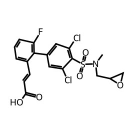 CN(CC1CO1)S(=O)(=O)c1c(Cl)cc(-c2c(F)cccc2C=CC(=O)O)cc1Cl